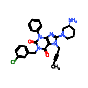 CC#CCn1c(N2CCC[C@@H](N)C2)nc2c1c(=O)n(Cc1cccc(Cl)c1)c(=O)n2-c1ccccc1